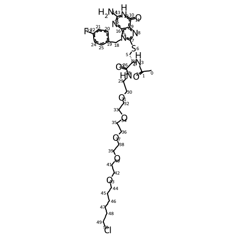 CC(=O)N[C@@H](CSc1nc2c(=O)[nH]c(N)nc2n1Cc1ccc(F)cc1)C(=O)NCCOCCOCCOCCOCCOCCCCCCCl